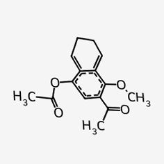 COc1c(C(C)=O)cc(OC(C)=O)c2c1=CCCC=2